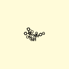 COc1ccc(NC(=O)NCCn2c(C(=O)N3CCNCC3)c(-c3ccccc3)n(-c3ccccc3C)c2=O)cc1